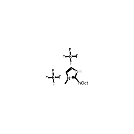 CCCCCCCCc1[nH]cc[n+]1C.F[B-](F)(F)F.F[B-](F)(F)F